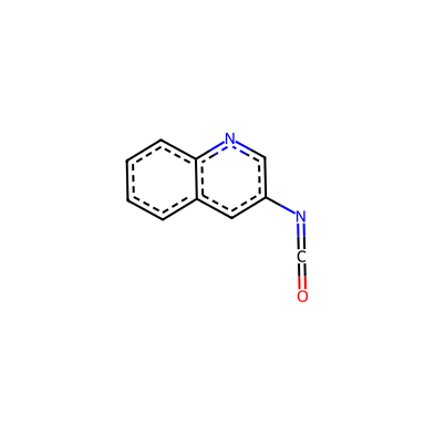 O=C=Nc1cnc2ccccc2c1